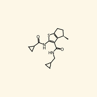 C[C@@H]1CCc2sc(NC(=O)C3CC3)c(C(=O)NCC3CC3)c21